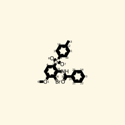 COc1ccc(S(=O)(=O)c2ccc(C)cc2)c(NC(=O)c2ccccc2)c1Br